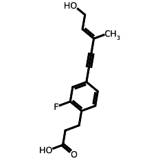 CC(C#Cc1ccc(CCC(=O)O)c(F)c1)=CCO